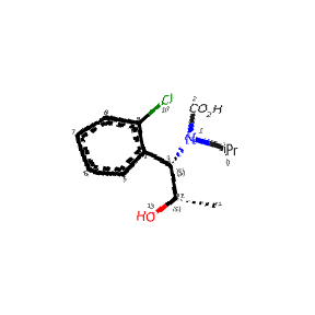 CC(C)N(C(=O)O)[C@@H](c1ccccc1Cl)[C@H](C)O